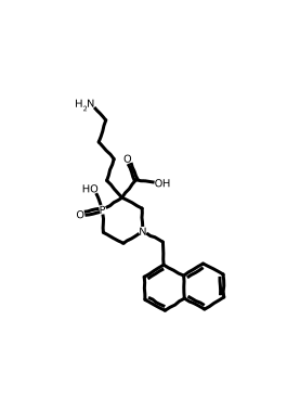 NCCCCC1(C(=O)O)CN(Cc2cccc3ccccc23)CCP1(=O)O